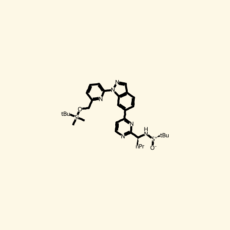 CCC[C@H](N[S@+]([O-])C(C)(C)C)c1nccc(-c2ccc3cnn(-c4cccc(CO[Si](C)(C)C(C)(C)C)n4)c3c2)n1